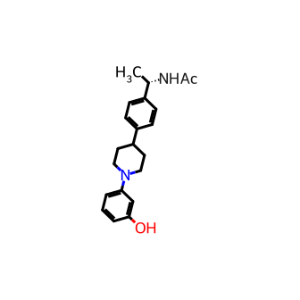 CC(=O)N[C@@H](C)c1ccc(C2CCN(c3cccc(O)c3)CC2)cc1